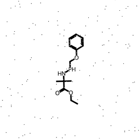 CCOC(=O)C(C)(C)NPCOc1ccccc1